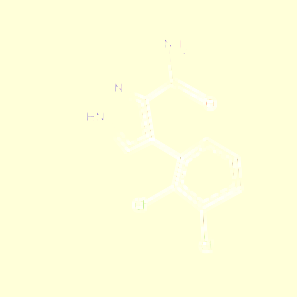 NC(=O)c1n[nH]cc1-c1cccc(Cl)c1Cl